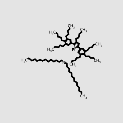 CCCCCC1=C(c2cc(CCCCC)c(CCCCC)c(CCCCC)c2)[N+](=[N-])C(c2cc(CCCCC)c(CCCCC)c(CCCCC)c2)=C1.CCCCCCCCCCCCC[CH2][Ni][CH2]CCCCCCCCCCCCC